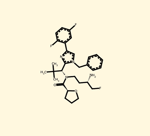 CC(C)(C)[C@H](c1nc(-c2cc(F)ccc2F)cn1Cc1ccccc1)N(CC[C@H](N)CF)C(=O)[C@@H]1CCCO1